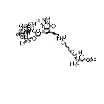 CCSSCO[C@H]1C[C@H](n2cc(C#CCNC(=O)OCCCCOCSSC(C)(C)CCOC(C)=O)c3c(=O)[nH]c(N)nc32)O[C@@H]1COP(=O)(O)OP(=O)(O)OP(=O)(O)O